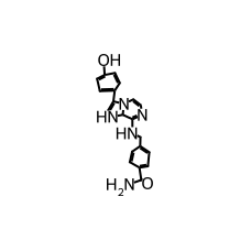 NC(=O)c1ccc(CNC2=NC=CN3C(c4ccc(O)cc4)=CNC23)cc1